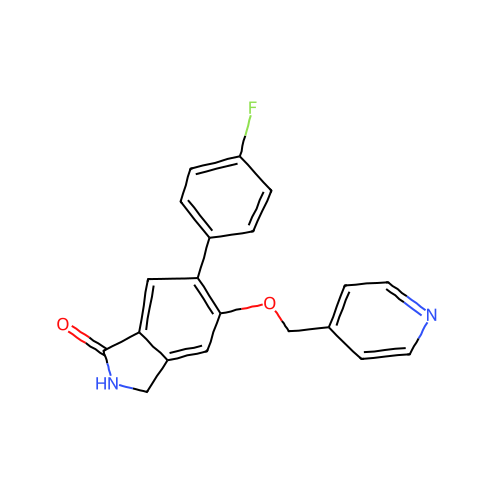 O=C1NCc2cc(OCc3ccncc3)c(-c3ccc(F)cc3)cc21